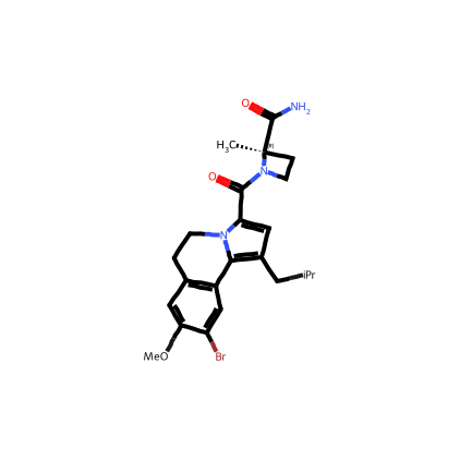 COc1cc2c(cc1Br)-c1c(CC(C)C)cc(C(=O)N3CC[C@]3(C)C(N)=O)n1CC2